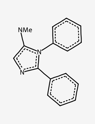 CNc1cnc(-c2ccccc2)n1-c1ccccc1